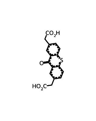 O=C(O)Cc1ccc2sc3ccc(CC(=O)O)cc3c(=O)c2c1